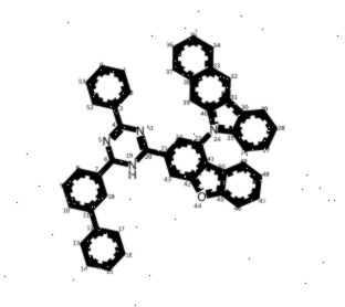 c1ccc(C2=NC(c3cccc(-c4ccccc4)c3)NC(c3cc(-n4c5ccccc5c5cc6ccccc6cc54)c4c(c3)oc3ccccc34)=N2)cc1